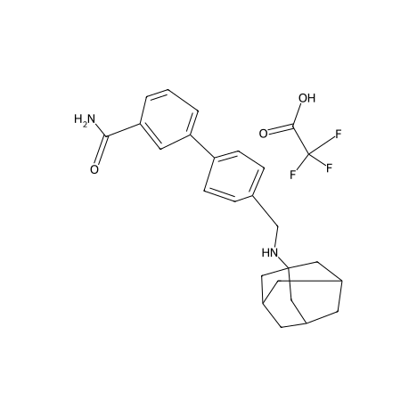 NC(=O)c1cccc(-c2ccc(CNC34CC5CC(CC(C5)C3)C4)cc2)c1.O=C(O)C(F)(F)F